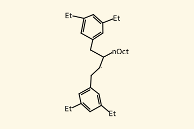 CCCCCCCCC([CH]Cc1cc(CC)cc(CC)c1)Cc1cc(CC)cc(CC)c1